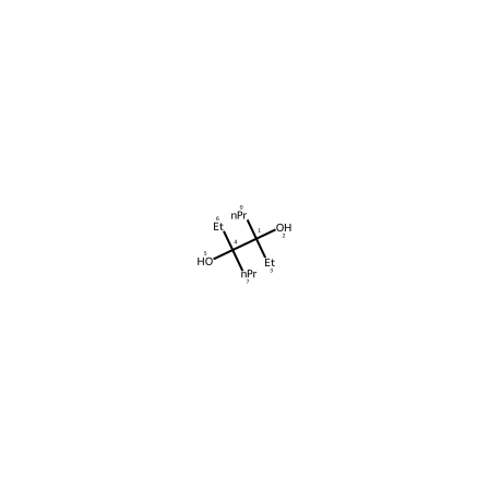 CCCC(O)(CC)C(O)(CC)CCC